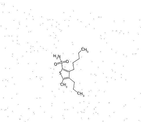 CCCCCc1c(S(N)(=O)=O)sc(C)c1CCC